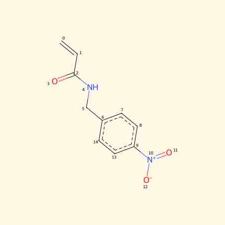 C=CC(=O)NCc1ccc([N+](=O)[O-])cc1